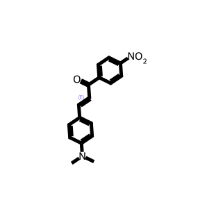 CN(C)c1ccc(/C=C/C(=O)c2ccc([N+](=O)[O-])cc2)cc1